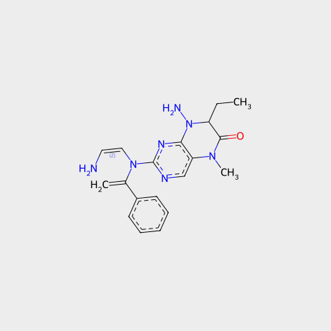 C=C(c1ccccc1)N(/C=C\N)c1ncc2c(n1)N(N)C(CC)C(=O)N2C